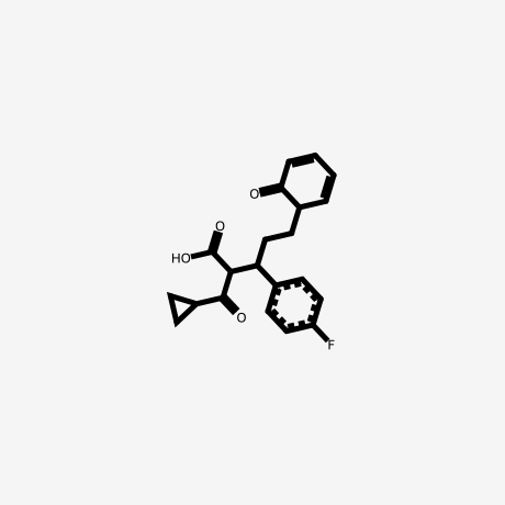 O=C1C=CC=CC1CCC(c1ccc(F)cc1)C(C(=O)O)C(=O)C1CC1